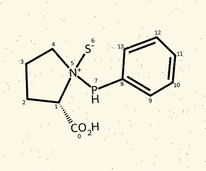 O=C(O)[C@@H]1CCC[N+]1([S-])Pc1ccccc1